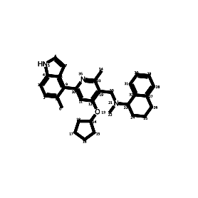 Cc1ccc2[nH]ccc2c1-c1cc(OC2CCCC2)c(CN(C)C2CCCc3ccccc32)c(C)n1